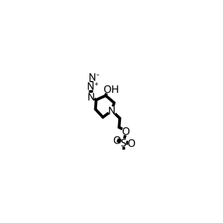 CS(=O)(=O)OCCN1CCC(N=[N+]=[N-])C(O)C1